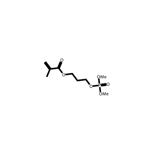 C=C(C)C(=O)OCCCOP(=O)(OC)OC